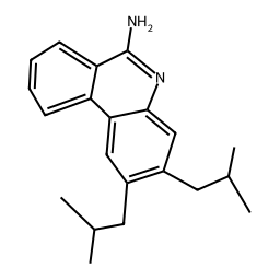 CC(C)Cc1cc2nc(N)c3ccccc3c2cc1CC(C)C